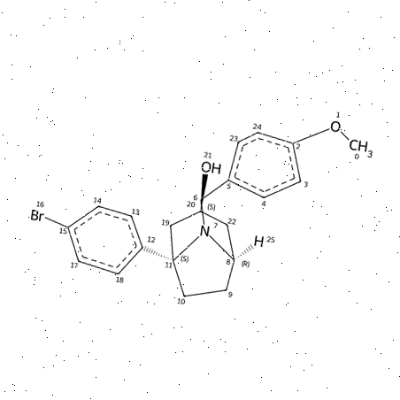 COc1ccc(CN2[C@@H]3CC[C@@]2(c2ccc(Br)cc2)C[C@@H](O)C3)cc1